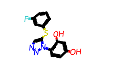 Oc1ccc(-n2nncc2Sc2cccc(F)c2)c(O)c1